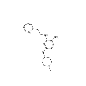 CN1CCC(Oc2ccc([N+](=O)[O-])c(NCCc3ccccn3)n2)CC1